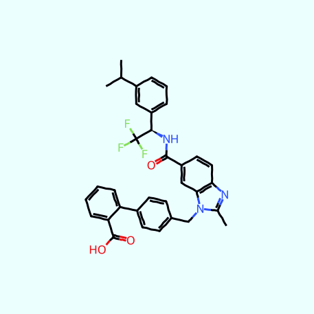 Cc1nc2ccc(C(=O)N[C@H](c3cccc(C(C)C)c3)C(F)(F)F)cc2n1Cc1ccc(-c2ccccc2C(=O)O)cc1